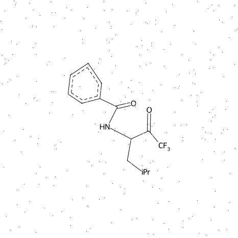 CC(C)CC(NC(=O)c1ccccc1)C(=O)C(F)(F)F